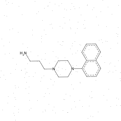 NCCCN1CCN(c2cccc3ccccc23)CC1